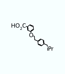 CC(C)Cc1ccc(CCOc2cccc(C(=O)O)c2)cc1